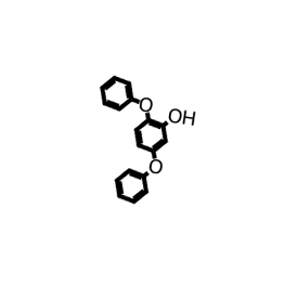 Oc1cc(Oc2ccccc2)ccc1Oc1ccccc1